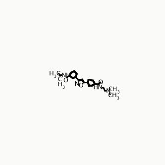 CC(C)NC(=O)c1cccc(-c2cc(-c3ccc(C(=O)NCCN(C)C)cc3)on2)c1